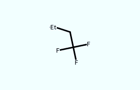 C[CH]CC(F)(F)F